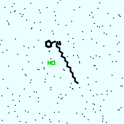 CCCCCCCCCCCCCCCC[As](C)Cc1ccccc1.Cl